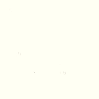 CCSCCNC(=O)c1cnc2c(c1)CN(Cc1ccc(C(F)(F)F)cc1)C2